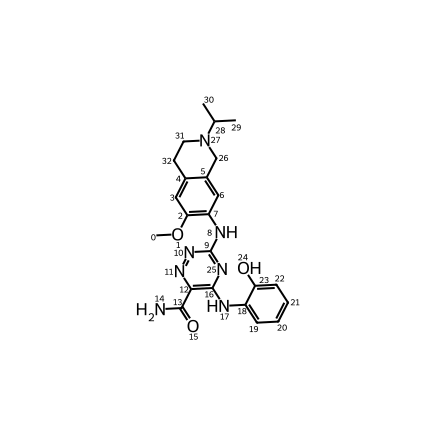 COc1cc2c(cc1Nc1nnc(C(N)=O)c(Nc3ccccc3O)n1)CN(C(C)C)CC2